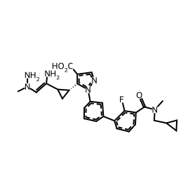 CN(N)/C=C(\N)C1C[C@H]1c1c(C(=O)O)cnn1-c1cccc(-c2cccc(C(=O)N(C)CC3CC3)c2F)c1